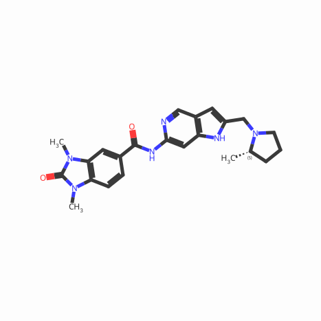 C[C@H]1CCCN1Cc1cc2cnc(NC(=O)c3ccc4c(c3)n(C)c(=O)n4C)cc2[nH]1